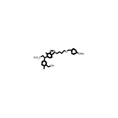 CCOC(=O)CC(c1ccc(C)c(CO)c1)c1ccc2c(nnn2CCCCOCc2ccc(OC)cc2)c1C